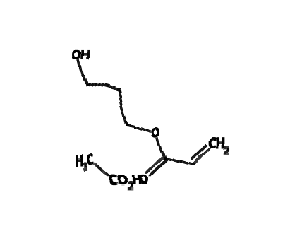 C=CC(=O)OCCCO.CC(=O)O